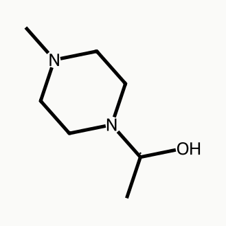 C[C](O)N1CCN(C)CC1